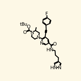 CC1CN(c2ncc(C(=O)NCCCc3cn[nH]c3)cc2C#Cc2ccc(F)cc2)CCN1C(=O)OC(C)(C)C